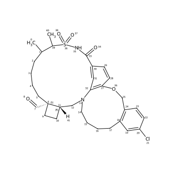 CC1CCCC[C@]2(C=O)CC[C@H]2CN2CCCCc3cc(Cl)ccc3COc3ccc(cc32)C(=O)NS(=O)(=O)C1C